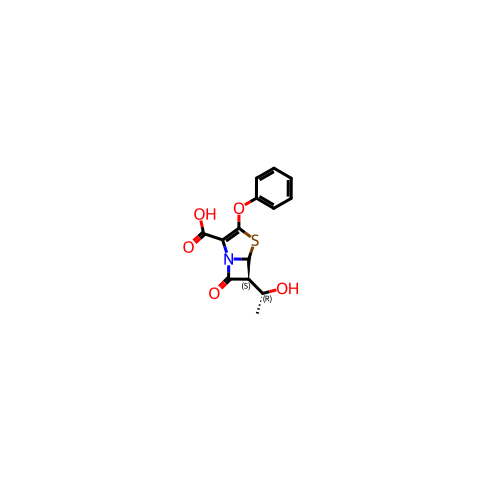 C[C@@H](O)[C@H]1C(=O)N2C(C(=O)O)=C(Oc3ccccc3)SC12